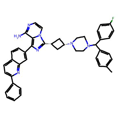 Cc1ccc(C(c2ccc(F)cc2)N2CCN([C@H]3C[C@@H](c4nc(-c5ccc6ccc(-c7ccccc7)nc6c5)c5c(N)nccn54)C3)CC2)cc1